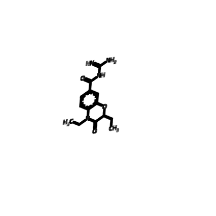 CCC1Oc2cc(C(=O)NC(=N)N)ccc2N(CC)C1=O